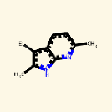 CCc1c(C)[nH]c2nc(C)ccc12